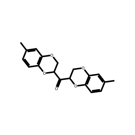 Cc1ccc2c(c1)OCC(C(=O)C1COc3cc(C)ccc3O1)O2